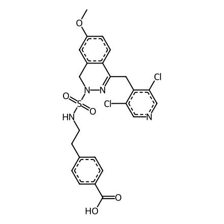 COc1ccc2c(c1)CN(S(=O)(=O)NCCc1ccc(C(=O)O)cc1)N=C2Cc1c(Cl)cncc1Cl